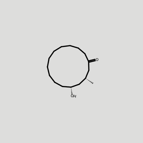 C[C@H]1CC(=O)CCCCCCCCCC[C@@H](O)C1